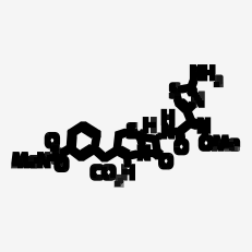 CNS(=O)(=O)c1cccc(CC2=C(C(=O)O)N3C(=O)[C@@H](NC(=O)/C(=N\OC)c4csc(N)n4)[C@H]3SC2)c1